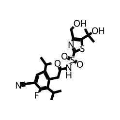 CC(C)c1cc(C#N)c(F)c(C(C)C)c1CC(=O)NS(=O)(=O)c1nc(CO)c(C(C)(C)O)s1